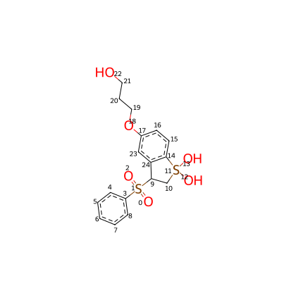 O=S(=O)(c1ccccc1)C1CS(O)(O)c2ccc(OCCCO)cc21